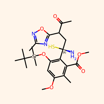 COC(=O)c1c(C)c(OC)cc(O[Si](C)(C)C(C)(C)C)c1[C@](N)(S)CC(C(C)=O)c1nc(C)no1